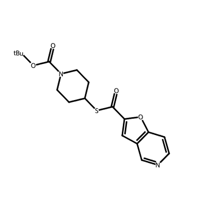 CC(C)(C)OC(=O)N1CCC(SC(=O)c2cc3cnccc3o2)CC1